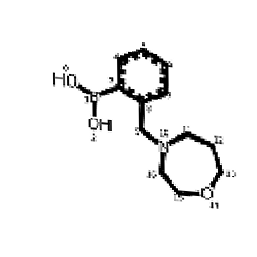 OB(O)c1ccccc1CN1CCCOCC1